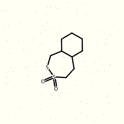 O=S1(=O)CCC2CCCCC2CS1